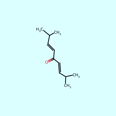 CC(C)C=CC(=O)C=CC(C)C